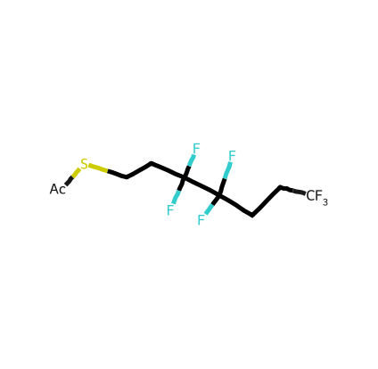 CC(=O)SCCC(F)(F)C(F)(F)CCC(F)(F)F